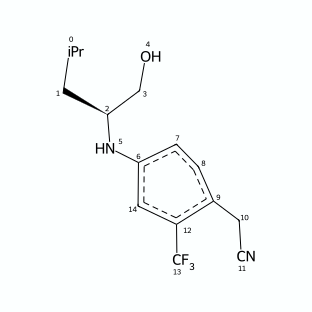 CC(C)C[C@@H](CO)Nc1ccc(CC#N)c(C(F)(F)F)c1